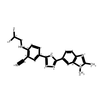 Cc1nc2ccc(-c3nnc(-c4ccc(NCC(F)F)c(C#N)c4)o3)cc2n1C